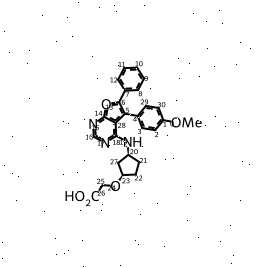 COc1ccc(-c2c(-c3ccccc3)oc3ncnc(N[C@H]4CC[C@@H](OCC(=O)O)C4)c23)cc1